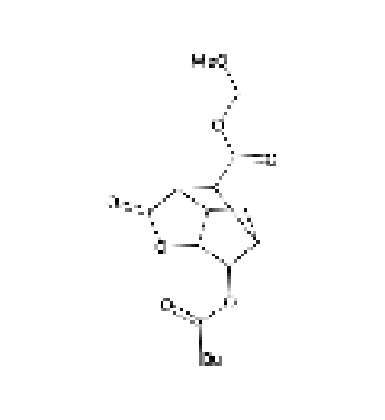 CCC(C)C(=O)OC1C2CC3C1OC(=O)C3C2C(=O)OCOC